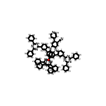 N#Cc1cc(-n2c3ccc(-c4nc(-c5ccccc5)nc(-c5ccccc5)n4)cc3c3cc(-c4nc(-c5ccccc5)nc(-c5ccccc5)n4)ccc32)c(-n2c3ccc(-c4nc(-c5ccccc5)nc(-c5ccccc5)n4)cc3c3cc(-c4nc(-c5ccccc5)nc(-c5ccccc5)n4)ccc32)cc1-c1ccncc1